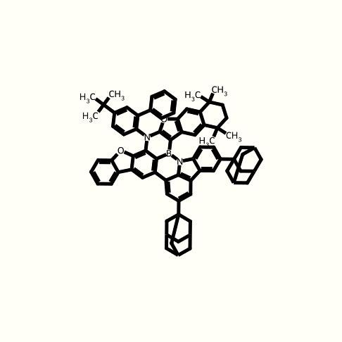 CC(C)(C)c1ccc(N2c3oc4cc5c(cc4c3B3c4c(cc6c(oc7ccccc76)c42)-c2cc(C46CC7CC(CC(C7)C4)C6)cc4c6cc(C78CC9CC(CC(C9)C7)C8)ccc6n3c24)C(C)(C)CCC5(C)C)c(-c2ccccc2)c1